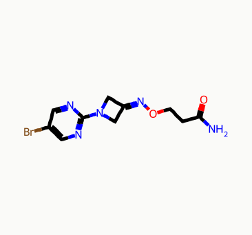 NC(=O)CCON=C1CN(c2ncc(Br)cn2)C1